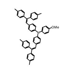 COc1ccc(N(c2ccc(C=C(c3ccc(C)cc3)c3ccc(C)cc3)cc2)c2ccc(C=C(c3ccc(C)cc3)c3ccc(C)cc3)cc2)cc1